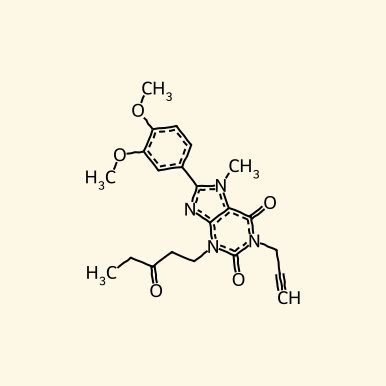 C#CCn1c(=O)c2c(nc(-c3ccc(OC)c(OC)c3)n2C)n(CCC(=O)CC)c1=O